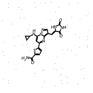 NC(=O)c1ccc(-c2cc(NC3CC3)n3ncc(/C=C4\NC(=O)NC4=O)c3n2)s1